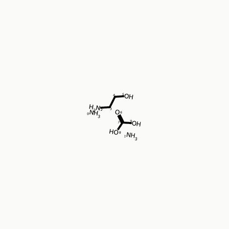 N.N.NCCO.O=C(O)O